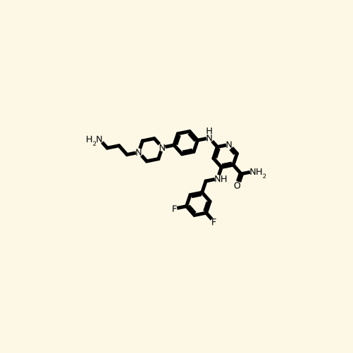 NCCCN1CCN(c2ccc(Nc3cc(NCc4cc(F)cc(F)c4)c(C(N)=O)cn3)cc2)CC1